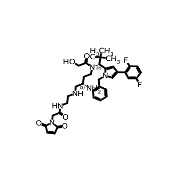 CC(C)(C)[C@H](c1cc(-c2cc(F)ccc2F)cn1Cc1ccccc1)N(CC[C@H](N)CNCCNC(=O)CN1C(=O)C=CC1=O)C(=O)CO